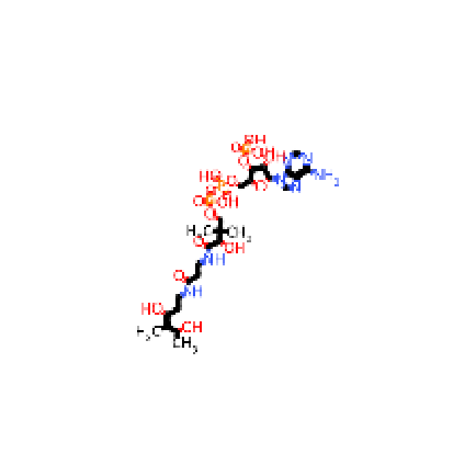 CC(O)C(C)C(O)CCNC(=O)CCNC(=O)C(O)C(C)(C)COP(=O)(O)OP(=O)(O)OCC1OC(n2cnc3c(N)ncnc32)C(O)C1OP(=O)(O)O